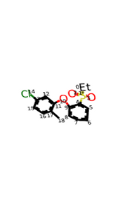 CCS(=O)(=O)c1ccccc1Oc1cc(Cl)[c]cc1C